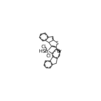 [SH][Zr]([Cl])([Cl])([C]1=C(Br)SC2=Cc3ccccc3C21)[c]1cccc2c1-c1ccccc1C2